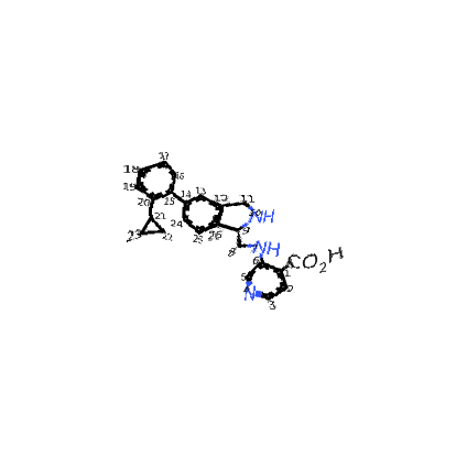 O=C(O)c1ccncc1NC[C@@H]1NCc2cc(-c3ccccc3C3CC3)ccc21